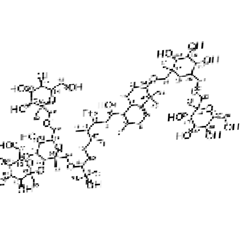 CCC(CC(O)C1C(C)CC=C2C1CCC(OCC1(C)CC(COCC3(C)OC(CO)[C@@H](O)C(O)[C@@H]3O)[C@@H](O)C(O)[C@@H]1O)C2(C)C)C(C)[C@H](C)CCC(OC[C@@]1(C)OC(COC[C@@]2(C)OC(CO)[C@H](O)[C@H](O)C2O)[C@H](O)[C@H](O)C1O[C@@]1(C)OC(CO)[C@H](O)[C@H](O)C1O)C(C)(C)O